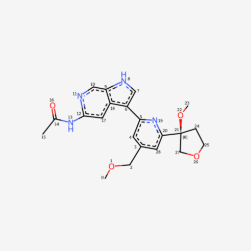 COCc1cc(-c2c[nH]c3cnc(NC(C)=O)cc23)nc([C@]2(OC)CCOC2)c1